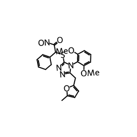 COc1cccc(OC)c1-n1c(Cc2ccc(C)o2)nnc1SC(C(=O)N=O)C1=CC=CCC1